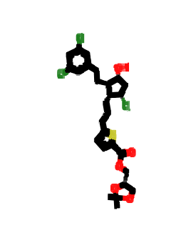 CC1(C)OC[C@@H](COC(=O)c2ccc(CCC[C@@H]3[C@@H](CCc4cc(Cl)cc(Cl)c4)[C@H](O)C[C@@H]3Cl)s2)O1